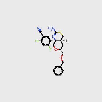 N#Cc1cc([C@]23CO[C@@H](COCc4ccccc4)C[C@H]2CSC(N)=N3)c(F)cc1F